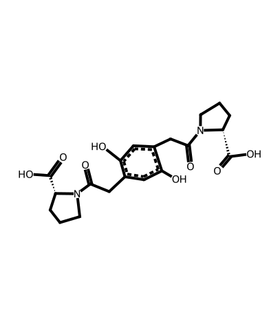 O=C(O)[C@H]1CCCN1C(=O)Cc1cc(O)c(CC(=O)N2CCC[C@@H]2C(=O)O)cc1O